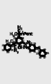 CCCCCC(C)(C)c1cc(-n2nc3ccc(Sc4ccccc4)cc3n2)c(O)c(C(C)(C)c2ccccc2)c1